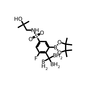 BC(B)(B)c1c(F)cc(S(=O)(=O)NCC(C)(C)O)cc1B1OC(C)(C)C(C)(C)O1